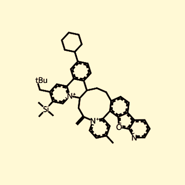 C=C1CC2C(CCc3ccc4c(oc5ncccc54)c3-c3cc(C)cc[n+]31)c1ccc(C3CCCCC3)cc1-c1cc(CC(C)(C)C)c([Si](C)(C)C)c[n+]12